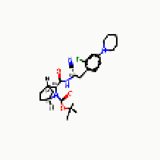 CC(C)(C)OC(=O)N1[C@@H]2CC[C@@H](C2)[C@H]1C(=O)N[C@H](C#N)Cc1ccc(N2CCCCC2)cc1F